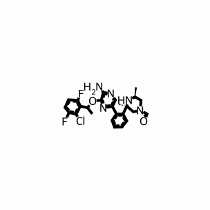 CC(Oc1nc(-c2ccccc2[C@]2(C)CN(C=O)C[C@H](C)N2)cnc1N)c1c(F)ccc(F)c1Cl